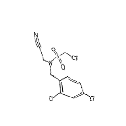 N#CCN(Cc1ccc(Cl)cc1Cl)S(=O)(=O)CCl